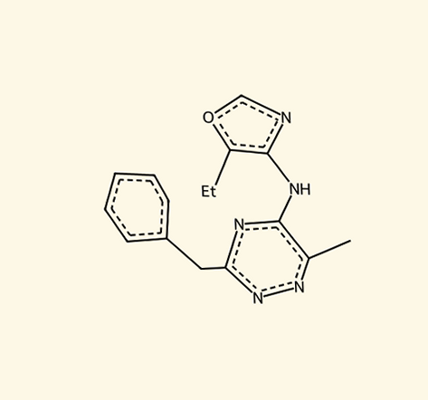 CCc1ocnc1Nc1nc(Cc2ccccc2)nnc1C